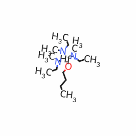 CCCC[O][Hf]([N](C)CC)([N](C)CC)[N](C)CC